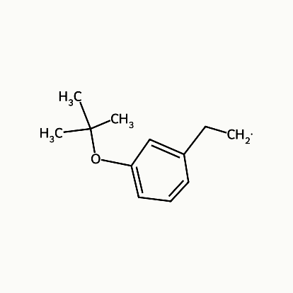 [CH2]Cc1cccc(OC(C)(C)C)c1